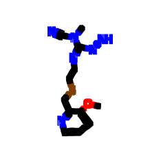 COc1cccnc1CSCCN=C(N=N)N(C)C#N